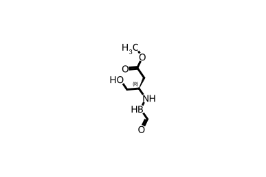 COC(=O)C[C@H](CO)NBC=O